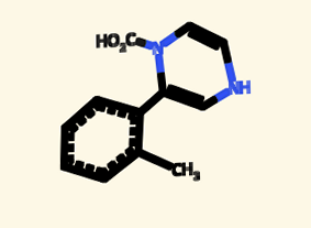 Cc1ccccc1C1=CNC=CN1C(=O)O